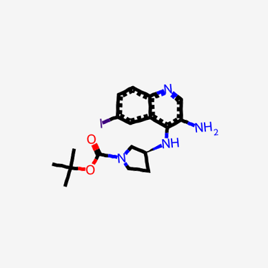 CC(C)(C)OC(=O)N1CC[C@H](Nc2c(N)cnc3ccc(I)cc23)C1